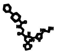 CCCC1(CN(NCc2cc(NC=N)cs2)C(=O)CNC(=O)c2ccc(-c3ccccc3)cc2)OCCO1